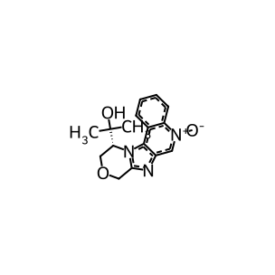 CC(C)(O)[C@H]1COCc2nc3c[n+]([O-])c4ccccc4c3n21